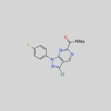 CNC(=O)c1ncc2c(Cl)nn(-c3ccc(F)cc3)c2n1